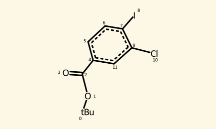 CC(C)(C)OC(=O)c1ccc(I)c(Cl)c1